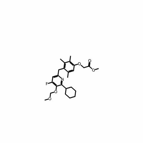 COCOc1c(F)cc(Cc2c(C)cc(OCC(=O)OC)c(C)c2C)nc1C1CCCCC1